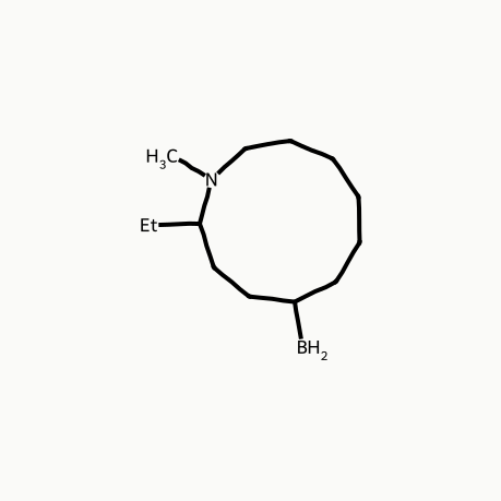 BC1CCCCCCN(C)C(CC)CC1